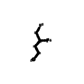 [O]CCC(F)CF